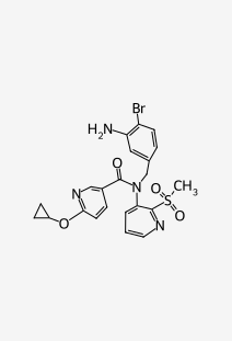 CS(=O)(=O)c1ncccc1N(Cc1ccc(Br)c(N)c1)C(=O)c1ccc(OC2CC2)nc1